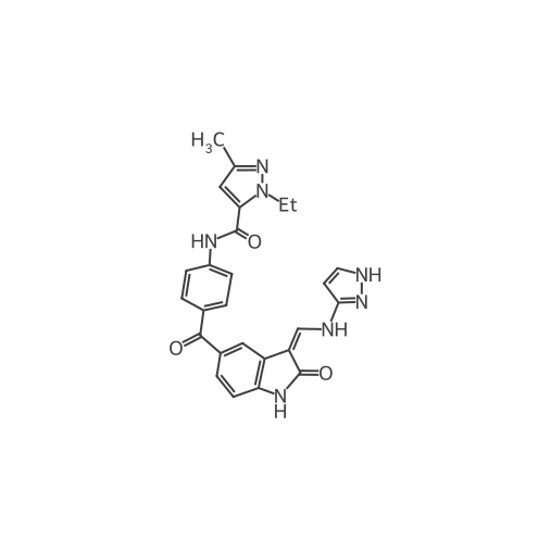 CCn1nc(C)cc1C(=O)Nc1ccc(C(=O)c2ccc3c(c2)/C(=C/Nc2cc[nH]n2)C(=O)N3)cc1